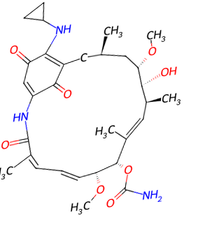 CO[C@H]1C[C@H](C)CC2=C(NC3CC3)C(=O)C=C(NC(=O)/C(C)=C\C=C\[C@@H](OC)[C@@H](OC(N)=O)/C(C)=C/[C@H](C)[C@H]1O)C2=O